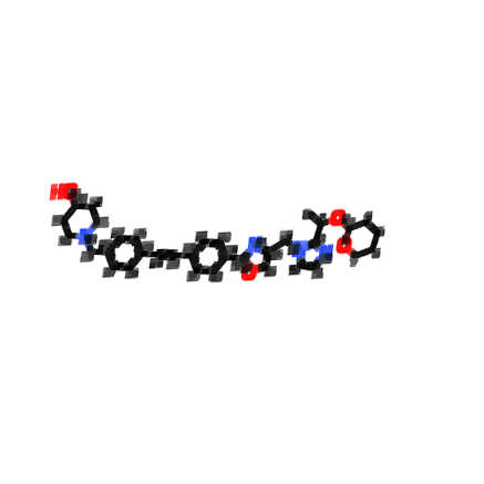 CC(OC1CCCCO1)c1nccn1Cc1coc(-c2ccc(C#Cc3ccc(CN4CCC(O)CC4)cc3)cc2)n1